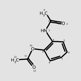 CC(=O)Nc1[c]cccc1OC(C)=O